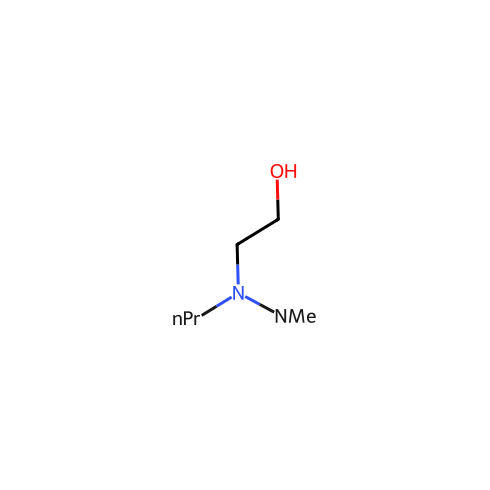 CCCN(CCO)NC